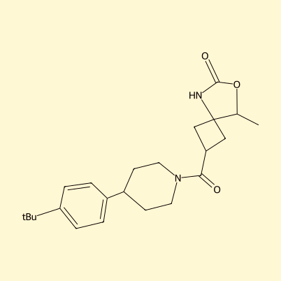 CC1OC(=O)NC12CC(C(=O)N1CCC(c3ccc(C(C)(C)C)cc3)CC1)C2